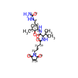 CC(C)C(=O)C(CCCNC(N)=O)NC(=O)C(NC(=O)CCCCN1C(=O)C=CC1=O)C(C)C